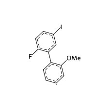 COc1c[c]ccc1-c1cc(I)ccc1F